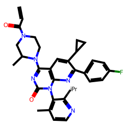 C=CC(=O)N1CCN(c2nc(=O)n(-c3c(C)ccnc3C(C)C)c3nc(-c4ccc(F)cc4)c(C4CC4)cc23)C(C)C1